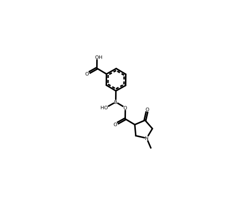 CN1CC(=O)C(C(=O)OB(O)c2cccc(C(=O)O)c2)C1